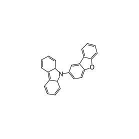 C1=CC2=C3C=CC=CC3N(c3ccc4oc5ccccc5c4c3)C2C=C1